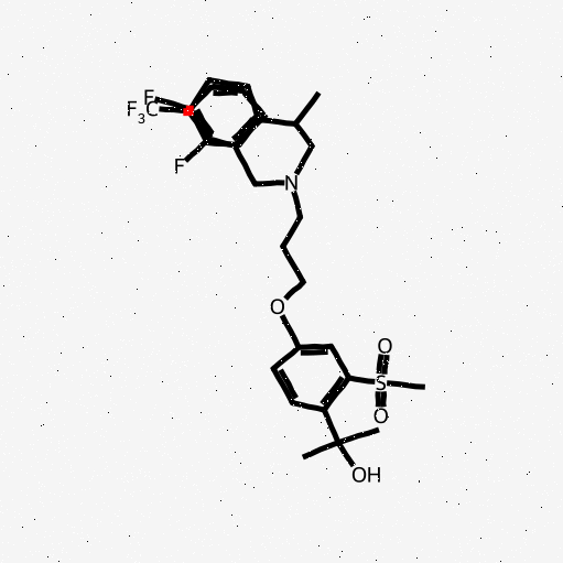 CC(CN(CCCOc1ccc(C(C)(C)O)c(S(C)(=O)=O)c1)Cc1cccc(C(F)(F)F)c1F)c1ccc(F)cc1